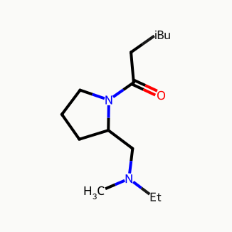 CCC(C)CC(=O)N1CCCC1CN(C)CC